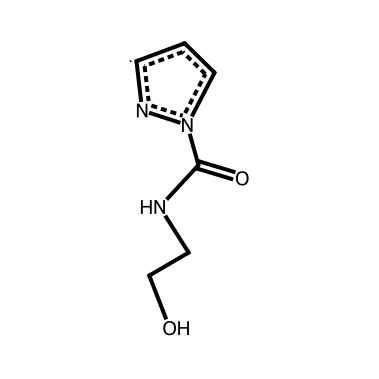 O=C(NCCO)n1cc[c]n1